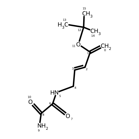 C=C(/C=C/CNC(=O)C(N)=O)OC(C)(C)C